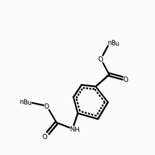 CCCCOC(=O)Nc1ccc(C(=O)OCCCC)cc1